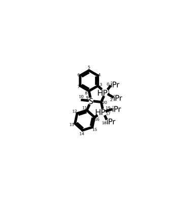 CC(C)[PH]1(C(C)C)c2ccccc2S2(C)c3ccccc3[PH](C(C)C)(C(C)C)C12